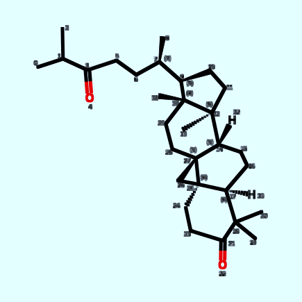 CC(C)C(=O)CC[C@@H](C)[C@H]1CC[C@@]2(C)[C@@H]3CC[C@H]4C(C)(C)C(=O)CC[C@@]45C[C@@]35CC[C@]12C